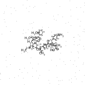 CCCCCCN(C(=O)[C@@H](NC(=O)[C@H]1CCCCN1C)[C@@H](C)CC)[C@H](C[C@@H](OCC)c1nc(C(=O)N[C@@H](Cc2ccc(N)cc2)CC(C)(C)C(=O)O)cs1)C(C)C